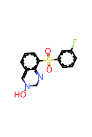 O=S(=O)(c1cccc(F)c1)c1cccc2c1=NCN(O)C=2